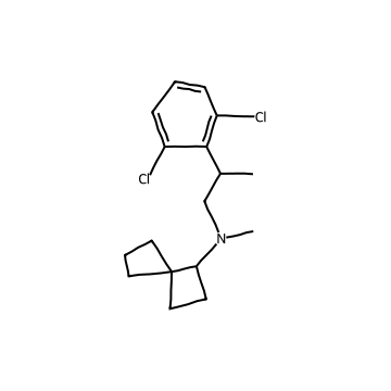 CC(CN(C)C1CCC12CCC2)c1c(Cl)cccc1Cl